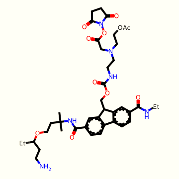 CCNC(=O)c1ccc2c(c1)C(COC(=O)NCCN(CCOC(C)=O)CC(=O)ON1C(=O)CCC1=O)c1cc(C(=O)NC(C)(C)CCOC(CC)CCN)ccc1-2